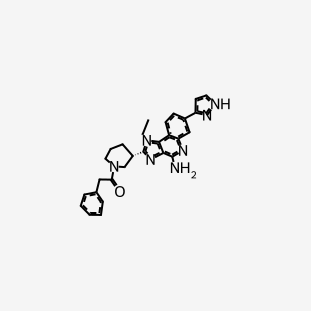 CCn1c([C@H]2CCCN(C(=O)Cc3ccccc3)C2)nc2c(N)nc3cc(-c4cc[nH]n4)ccc3c21